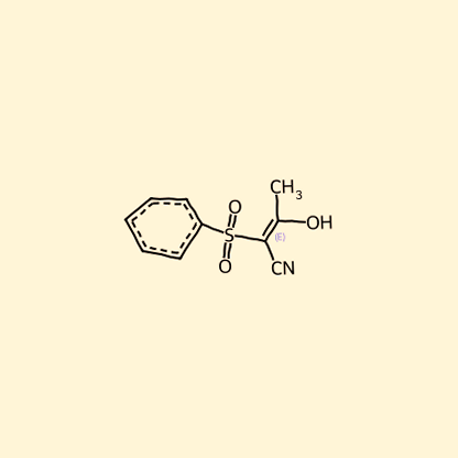 C/C(O)=C(/C#N)S(=O)(=O)c1ccccc1